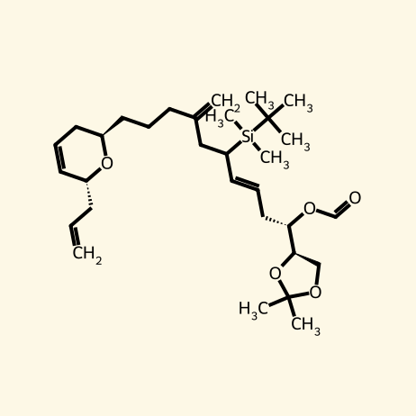 C=CC[C@@H]1C=CC[C@@H](CCCC(=C)CC(/C=C/C[C@H](OC=O)[C@H]2COC(C)(C)O2)[Si](C)(C)C(C)(C)C)O1